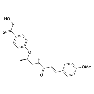 COc1ccc(/C=C/C(=O)NC[C@@H](C)Oc2ccc(C(=S)NO)cc2)cc1